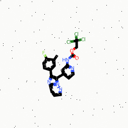 Cc1cc(-c2nc3cccnn3c2-c2ccnc(NC(=O)OCC(Cl)(Cl)Cl)c2)ccc1F